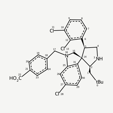 CC(C)(C)C[C@@H]1NC[C@H](c2cccc(Cl)c2Cl)[C@]12CN(Cc1ccc(C(=O)O)cc1)c1cc(Cl)ccc12